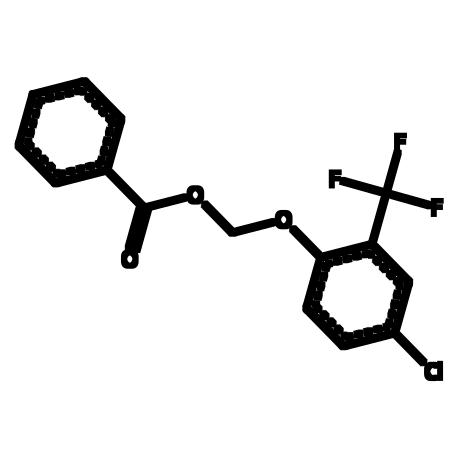 O=C(OCOc1ccc(Cl)cc1C(F)(F)F)c1ccccc1